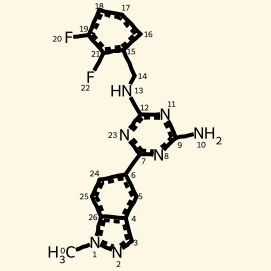 Cn1ncc2cc(-c3nc(N)nc(NCc4cccc(F)c4F)n3)ccc21